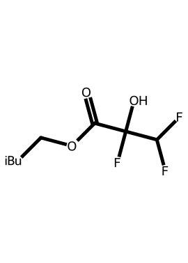 CCC(C)COC(=O)C(O)(F)C(F)F